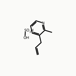 C=CCc1cccnc1C.O=S(=O)(O)O